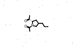 CCCC1C[C@@H](C(C)=O)N(C(C)=O)C1